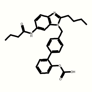 CCCCc1nc2ccc(NC(=O)CCC)cc2n1Cc1ccc(-c2ccccc2OC(=O)O)cc1